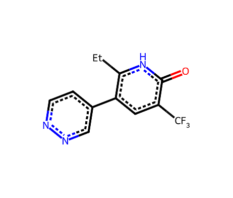 CCc1[nH]c(=O)c(C(F)(F)F)cc1-c1ccnnc1